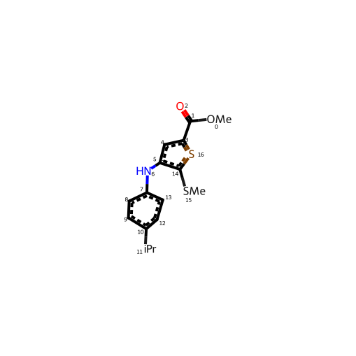 COC(=O)c1cc(Nc2ccc(C(C)C)cc2)c(SC)s1